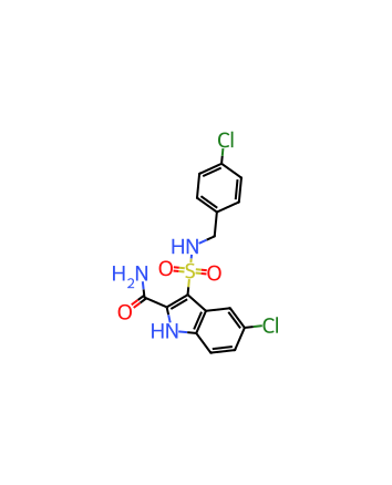 NC(=O)c1[nH]c2ccc(Cl)cc2c1S(=O)(=O)NCc1ccc(Cl)cc1